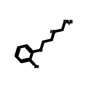 CC(=O)c1ccccc1OCCNCC(=O)O